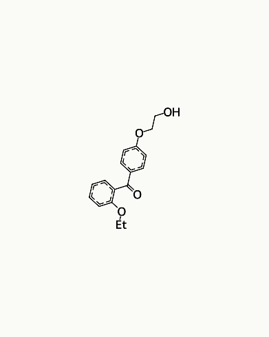 CCOc1ccccc1C(=O)c1ccc(OCCO)cc1